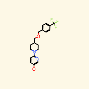 [O]c1ccc(N2CCC(COCc3ccc(C(F)(F)F)cc3)CC2)nc1